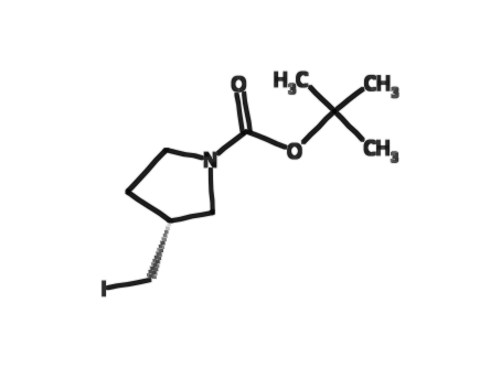 CC(C)(C)OC(=O)N1CC[C@@H](CI)C1